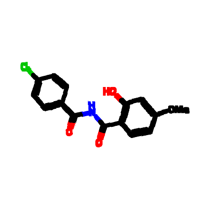 COc1ccc(C(=O)NC(=O)c2ccc(Cl)cc2)c(O)c1